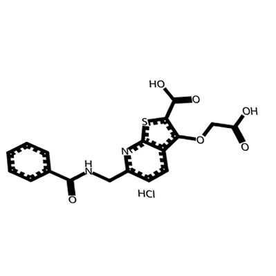 Cl.O=C(O)COc1c(C(=O)O)sc2nc(CNC(=O)c3ccccc3)ccc12